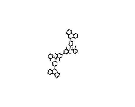 Cc1ccccc1N(c1ccc(-c2cc3ccccc3c3ccccc23)cc1)c1c(C)cc(-c2cc(C)c(N(c3ccc(-c4cc5ccccc5c5ccccc45)cc3)c3ccccc3C)c(C)c2)cc1C